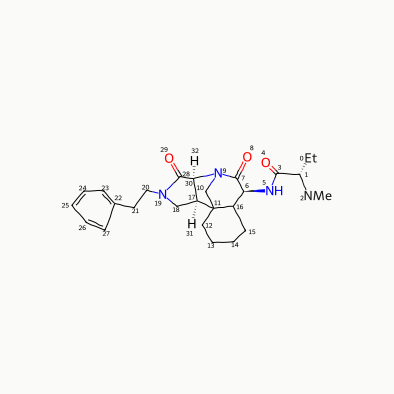 CC[C@H](NC)C(=O)N[C@@H]1C(=O)N2CC3(CCCCC13)[C@H]1CN(CCc3ccccc3)C(=O)[C@H]12